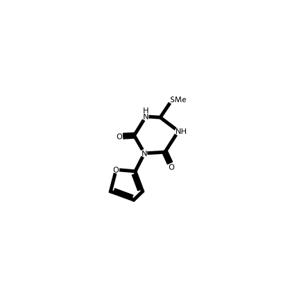 CSC1NC(=O)N(c2ccco2)C(=O)N1